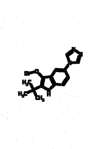 CCOc1c([Si](C)(C)C)[nH]c2ccc(-n3cnnc3)cc12